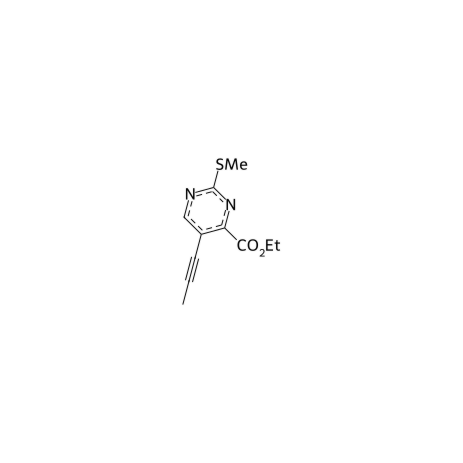 CC#Cc1cnc(SC)nc1C(=O)OCC